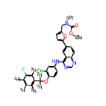 [2H]c1c([2H])c(F)c([2H])c(C([2H])([2H])Oc2ccc(Nc3ncnc4ccc(-c5ccc(CN(CCC)C(=O)OC(C)(C)C)o5)cc34)cc2Cl)c1[2H]